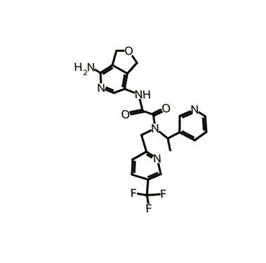 CC(c1cccnc1)N(Cc1ccc(C(F)(F)F)cn1)C(=O)C(=O)Nc1cnc(N)c2c1COC2